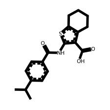 CC(C)c1ccc(C(=O)Nc2sc3c(c2C(=O)O)CCCC3)cc1